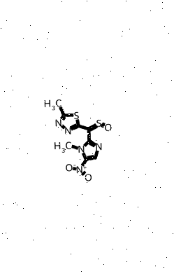 Cc1nnc(C(=S=O)c2ncc([N+](=O)[O-])n2C)s1